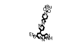 CCOc1cc(-c2ccc(N3CC4(CCN(C(=O)OC(C)(C)C)CC4)C3)nc2)c2c3cn[nH]c3nn2c1